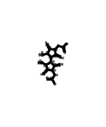 C=C(C)CN1C(=O)C(O)N(N2C(=S)N(CC(=C)C)C(=O)C2O)C1=S